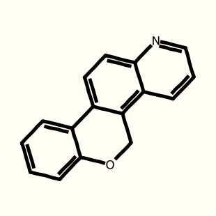 c1ccc2c(c1)OCc1c-2ccc2ncccc12